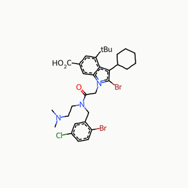 CN(C)CCN(Cc1cc(Cl)ccc1Br)C(=O)Cn1c(Br)c(C2CCCCC2)c2c(C(C)(C)C)cc(C(=O)O)cc21